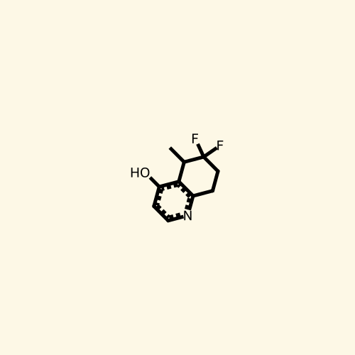 CC1c2c(O)ccnc2CCC1(F)F